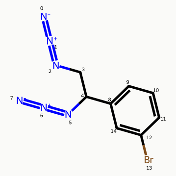 [N-]=[N+]=NCC(N=[N+]=[N-])c1cccc(Br)c1